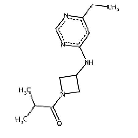 CCc1cc(NC2CN(C(=O)C(C)C)C2)ncn1